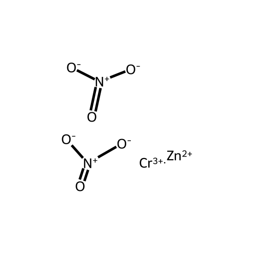 O=[N+]([O-])[O-].O=[N+]([O-])[O-].[Cr+3].[Zn+2]